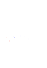 OS1(O)C=Nc2cccc(NC(=S)Nc3ccccc3)c2N1